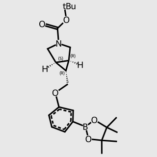 CC(C)(C)OC(=O)N1C[C@@H]2[C@@H](COc3cccc(B4OC(C)(C)C(C)(C)O4)c3)[C@@H]2C1